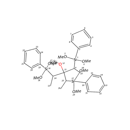 CO[Si](OC)(c1ccccc1)C(C)C(O[SiH3])(C(C)[Si](OC)(OC)c1ccccc1)C(C)[Si](OC)(OC)c1ccccc1